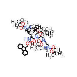 CC(C)(C)OC(=O)NCCCC[C@H](NC(=O)OCC1c2ccccc2-c2ccccc21)C(=O)N(CCO[Si](C)(C)C(C)(C)C)CC(CN(CCCNC(=O)OC(C)(C)C)C(=O)OC(C)(C)C)O[Si](C)(C)C(C)(C)C